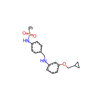 CC(C)S(=O)(=O)Nc1ccc(CNc2cccc(OCC3CC3)c2)cc1